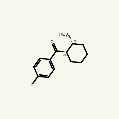 O=C(O)[C@@H]1CCCC[C@H]1C(=O)c1ccc(I)cc1